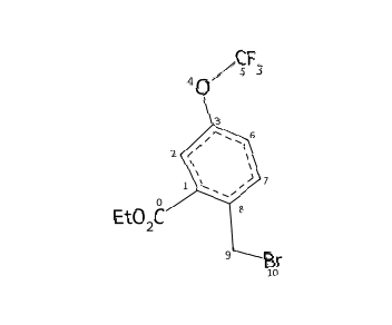 CCOC(=O)c1cc(OC(F)(F)F)ccc1CBr